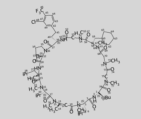 CC[C@H](C)[C@@H]1NC(=O)[C@H](CC(C)C)N(C)C(=O)C[C@@H](C)N(C)C(=O)[C@H](C(C)C)N(C)C(=O)[C@](C)(CC(C)C)NC(=O)[C@@H]2CCCN2C(=O)[C@H](CCc2ccc(C(F)(F)F)c(Cl)c2)NC(=O)CN(C)C(=O)[C@H](CC2CCCCC2)N(C)C(=O)CN(C)C(=O)CN(C)C1=O